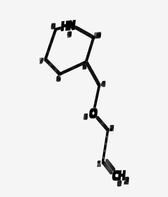 C=CCOCC1CCCNC1